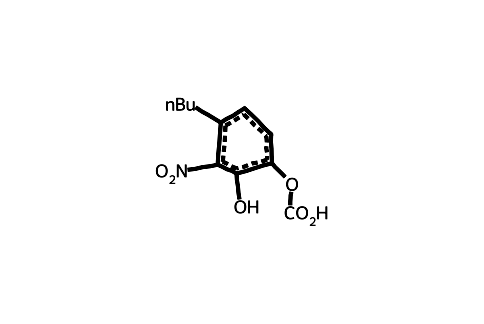 CCCCc1ccc(OC(=O)O)c(O)c1[N+](=O)[O-]